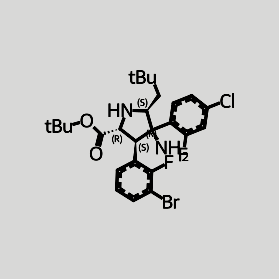 CC(C)(C)C[C@@H]1N[C@@H](C(=O)OC(C)(C)C)[C@H](c2cccc(Br)c2F)[C@@]1(N)c1ccc(Cl)cc1F